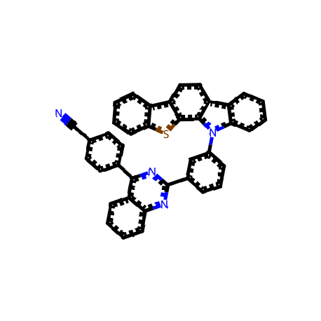 N#Cc1ccc(-c2nc(-c3cccc(-n4c5ccccc5c5ccc6c7ccccc7sc6c54)c3)nc3ccccc23)cc1